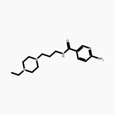 CCN1CCN(CCCNC(=O)c2ccc(N)nc2)CC1